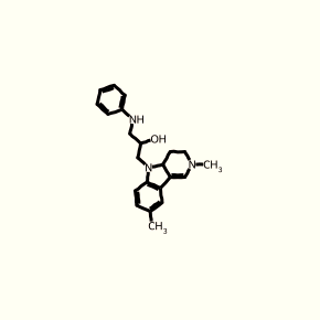 Cc1ccc2c(c1)C1=CN(C)CCC1N2CC(O)CNc1ccccc1